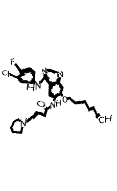 C#CCCCCCOc1cc2ncnc(Nc3ccc(F)c(Cl)c3)c2cc1NC(=O)/C=C/CN1CCCCC1